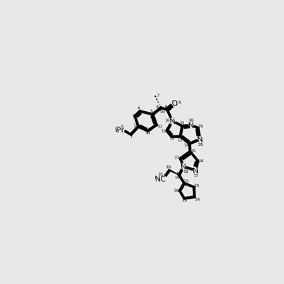 CC(C)Cc1ccc([C@H](C)C(=O)n2ccc3c(-c4cnn([C@H](CC#N)C5CCCC5)c4)ncnc32)cc1